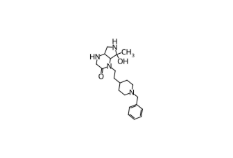 CC1(O)NCC2NCC(=O)N(CCC3CCN(Cc4ccccc4)CC3)C21